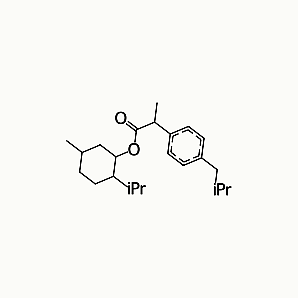 CC(C)Cc1ccc(C(C)C(=O)OC2CC(C)CCC2C(C)C)cc1